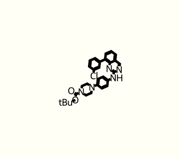 CC(C)(C)OC(=O)N1CCN(c2ccc(Nc3ncc4cccc(-c5cccc(Cl)c5)c4n3)cc2)CC1